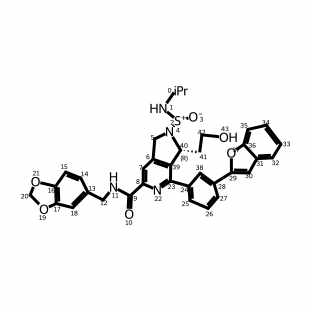 CC(C)N[S+]([O-])N1Cc2cc(C(=O)NCc3ccc4c(c3)OCO4)nc(-c3cccc(-c4cc5ccccc5o4)c3)c2[C@H]1CCO